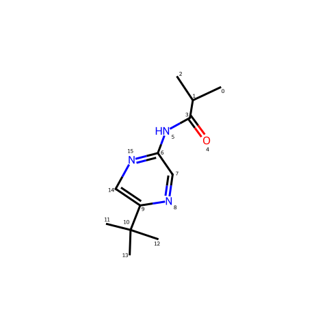 CC(C)C(=O)Nc1cnc(C(C)(C)C)cn1